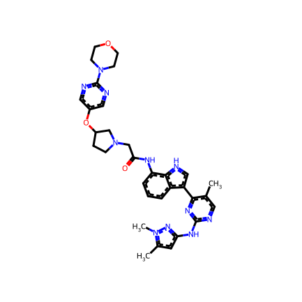 Cc1cnc(Nc2cc(C)n(C)n2)nc1-c1c[nH]c2c(NC(=O)CN3CCC(Oc4cnc(N5CCOCC5)nc4)C3)cccc12